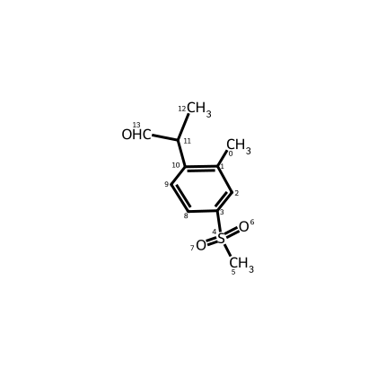 Cc1cc(S(C)(=O)=O)ccc1C(C)C=O